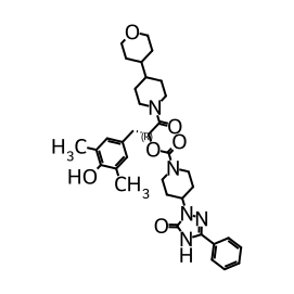 Cc1cc(C[C@@H](OC(=O)N2CCC(n3nc(-c4ccccc4)[nH]c3=O)CC2)C(=O)N2CCC(C3CCOCC3)CC2)cc(C)c1O